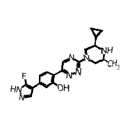 C[C@H]1CN(c2ncc(-c3ccc(-c4cn[nH]c4F)cc3O)nn2)C[C@@H](C2CC2)N1